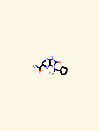 CC(c1ccccc1)n1c(=O)[nH]c2ncc(C(N)=O)nc21